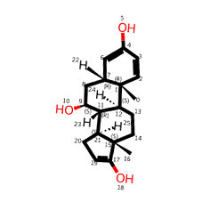 C[C@]12C=CC(O)=C[C@H]1C[C@H](O)[C@@H]1[C@@H]2CC[C@]2(C)C(O)=CC[C@@H]12